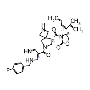 C=C/C=C(\C(=C)C)[C@@H]1COC(=O)N1C(=O)[C@@H]1CN(C(=O)/C(C=N)=C/NCc2ccc(F)cc2)CC12CNC2